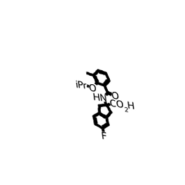 Cc1cccc(C(=O)NC2(C(=O)O)Cc3ccc(F)cc3C2)c1OC(C)C